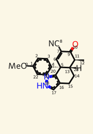 COc1ccc([C@]23C=C(C#N)C(=O)[C@@H](C)[C@@H]2CCc2c[nH]nc23)cc1